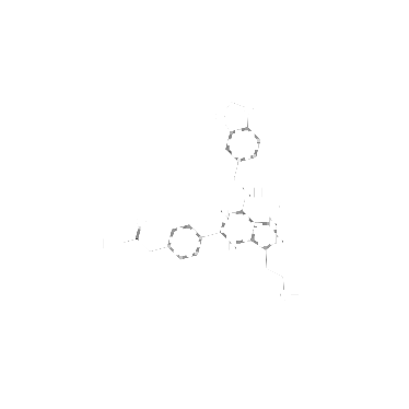 CCCc1nn(C)c2c(NCc3ccc4c(c3)OCO4)nc(-c3ccc(CC(=O)O)cc3)nc12